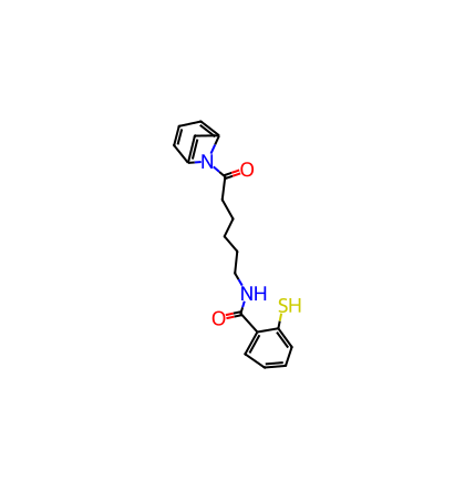 O=C(NCCCCCC(=O)N1C2=CC=CC1=C2)c1ccccc1S